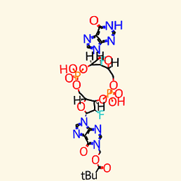 CC(C)(C)C(=O)OCn1cnc2c(ncn2[C@@H]2O[C@@H]3COP(=O)(O)O[C@@H]4[C@@H](F)[C@@H](COP(=O)(O)O[C@H]3[C@H]2F)O[C@H]4n2cnc3c(=O)[nH]cnc32)c1=O